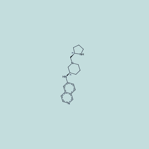 c1cc2cc(N[C@@H]3CCCN(C[C@H]4CCCN4)C3)ccc2cn1